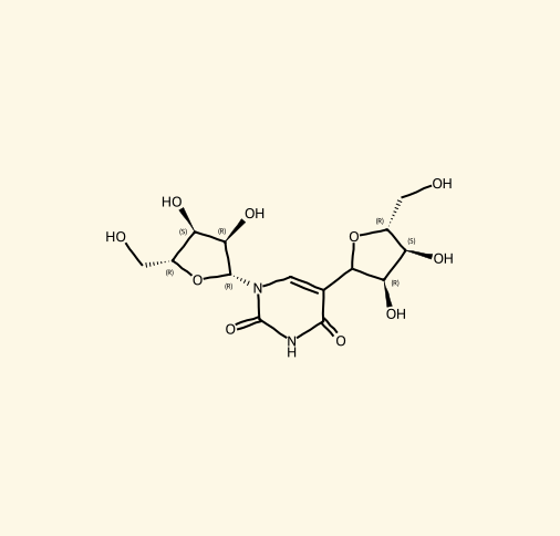 O=c1[nH]c(=O)n([C@@H]2O[C@H](CO)[C@@H](O)[C@H]2O)cc1C1O[C@H](CO)[C@@H](O)[C@H]1O